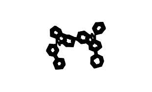 C1=CCC=CC(c2ccc3c(c2)c2cc(-c4ccc5c(c4)c4ccccc4n5-c4cccc(-c5ccccc5)c4)ccc2n3-c2ccccc2)=C1